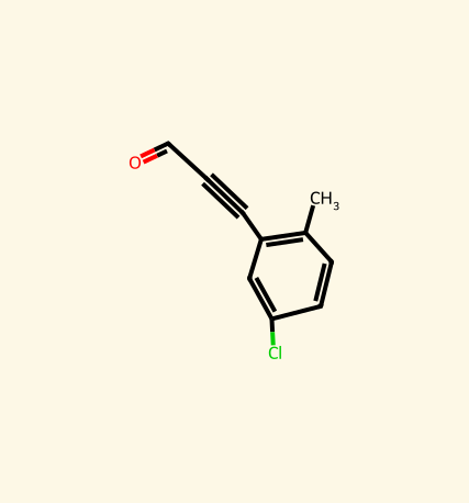 Cc1ccc(Cl)cc1C#CC=O